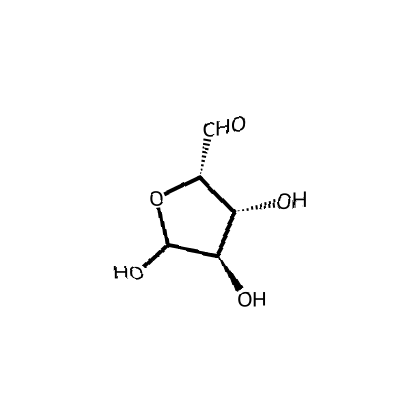 O=C[C@H]1OC(O)[C@H](O)[C@H]1O